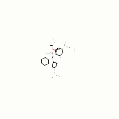 CCCC(=O)NN1C(=O)c2ccccc2C12c1ccc(N(CC)CC)cc1Oc1cc(N(CC)CC)ccc12